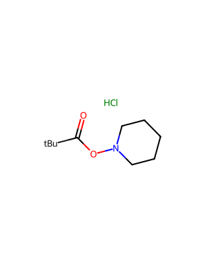 CC(C)(C)C(=O)ON1CCCCC1.Cl